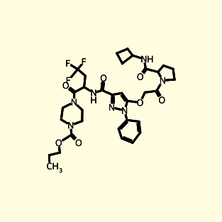 CCCOC(=O)N1CCN(C(=O)C(CC(F)(F)F)NC(=O)c2cc(OCC(=O)N3CCCC3C(=O)NC3CCC3)n(-c3ccccc3)n2)CC1